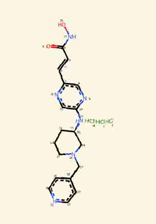 Cl.Cl.Cl.O=C(/C=C/c1cnc(N[C@@H]2CCCN(Cc3ccncc3)C2)cn1)NO